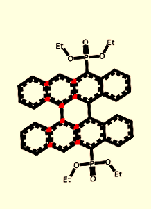 CCOP(=O)(OCC)c1cc(P(c2ccccc2)c2ccccc2)c(-c2c(P(c3ccccc3)c3ccccc3)cc(P(=O)(OCC)OCC)c3ccccc23)c2ccccc12